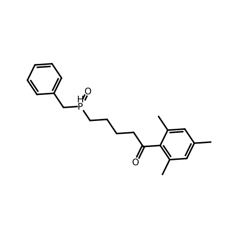 Cc1cc(C)c(C(=O)CCCC[PH](=O)Cc2ccccc2)c(C)c1